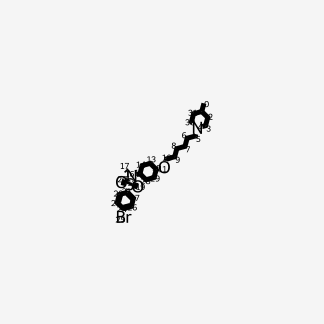 CC1CCN(CCCCCCOC2CCC(N(C)S(=O)(=O)c3ccc(Br)cc3)CC2)CC1